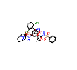 O=C(NS(=O)(=O)c1ccccc1)c1cccc(NC(=O)N2C3CCC2CC(OCc2c(-c4c(Cl)cccc4Cl)noc2C2CC2)C3)c1